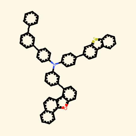 c1ccc(-c2cccc(-c3ccc(N(c4ccc(-c5ccc6c(c5)sc5ccccc56)cc4)c4cccc(-c5cccc6oc7c8ccccc8ccc7c56)c4)cc3)c2)cc1